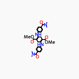 COC(=O)C1=C(Nc2ccc(C(=O)N(C)C)cc2)CC(C(=O)OC)=C(Nc2ccc(C(=O)N(C)C)cc2)C1